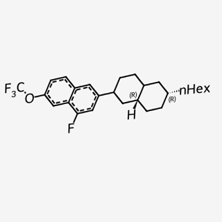 CCCCCC[C@@H]1CC[C@@H]2CC(c3cc(F)c4cc(OC(F)(F)F)ccc4c3)CCC2C1